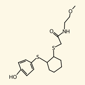 COCCNC(=O)CSC1CCCCC1Sc1ccc(O)cc1